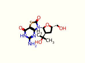 CC(C)(O)[C@@H]1C[C@@H](CO)O[C@H]1n1c(=O)sc2c(=O)[nH]c(N)nc21